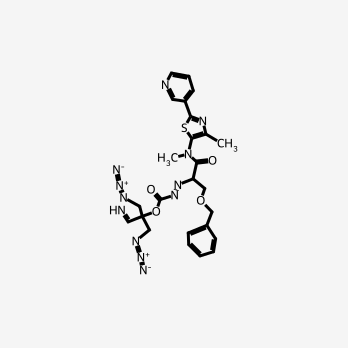 Cc1nc(-c2cccnc2)sc1N(C)C(=O)C(COCc1ccccc1)N=NC(=O)OC(C=N)(CN=[N+]=[N-])CN=[N+]=[N-]